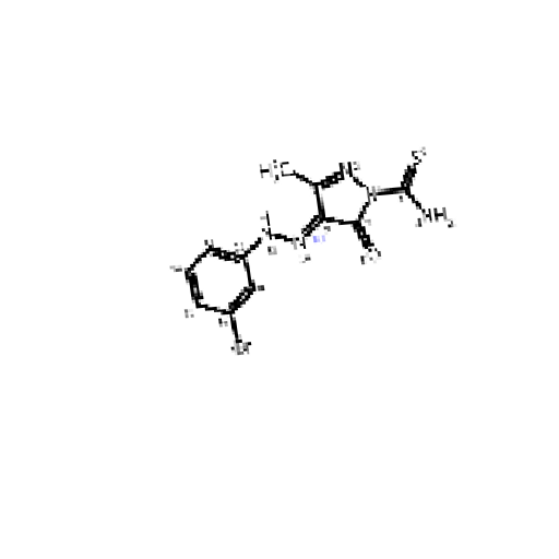 CC1=NN(C(N)=S)C(=O)/C1=N/Nc1cccc(Br)c1